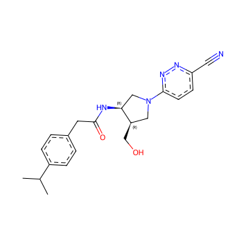 CC(C)c1ccc(CC(=O)N[C@H]2CN(c3ccc(C#N)nn3)C[C@H]2CO)cc1